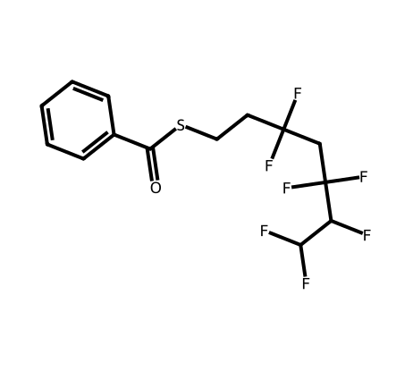 O=C(SCCC(F)(F)CC(F)(F)C(F)C(F)F)c1ccccc1